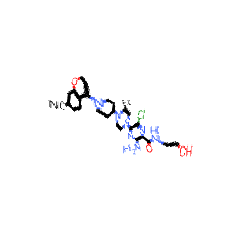 CC[C@H]1CN(c2nc(N)c(C(=O)NCCO)nc2Cl)CCN1C1CCN(C2CCOc3cc(C#N)ccc32)CC1